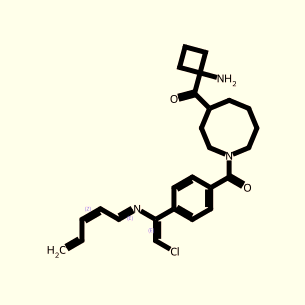 C=C\C=C/C=N/C(=C/Cl)c1ccc(C(=O)N2CCCCC(C(=O)C3(N)CCC3)CC2)cc1